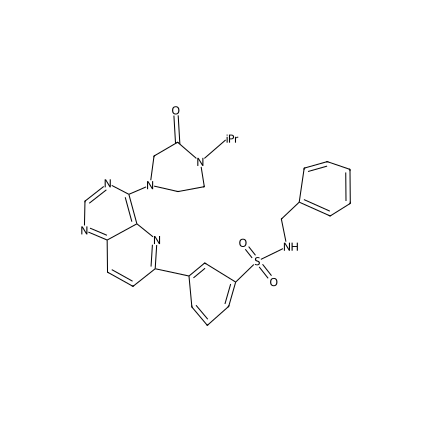 CC(C)N1CCN(c2ncnc3ccc(-c4cccc(S(=O)(=O)NCc5ccccc5)c4)nc23)CC1=O